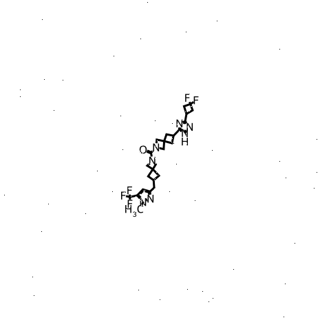 Cn1nc(CC2CC3(C2)CN(C(=O)N2CC4(CC(c5nc(C6CC(F)(F)C6)n[nH]5)C4)C2)C3)cc1C(F)(F)F